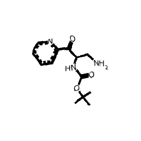 CC(C)(C)OC(=O)NC(CN)C(=O)c1ccccn1